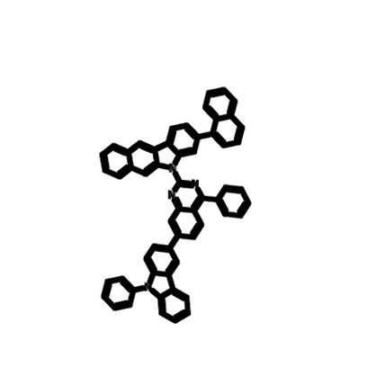 c1ccc(-c2nc(-n3c4cc(-c5cccc6ccccc56)ccc4c4cc5ccccc5cc43)nc3cc(-c4ccc5c(c4)c4ccccc4n5-c4ccccc4)ccc23)cc1